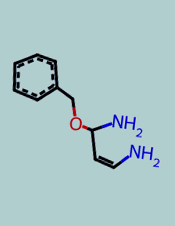 N/C=C\C(N)OCc1ccccc1